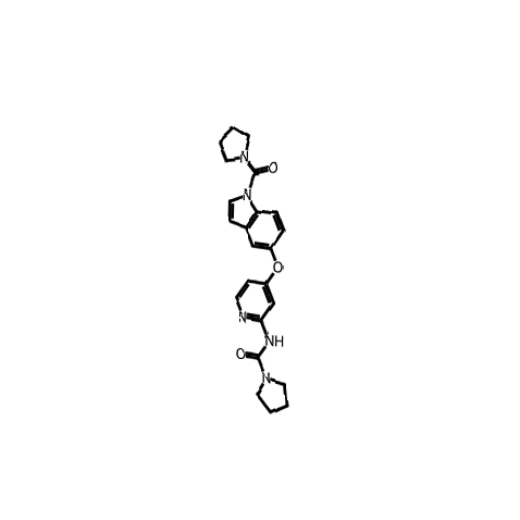 O=C(Nc1cc(Oc2ccc3c(ccn3C(=O)N3CCCC3)c2)ccn1)N1CCCC1